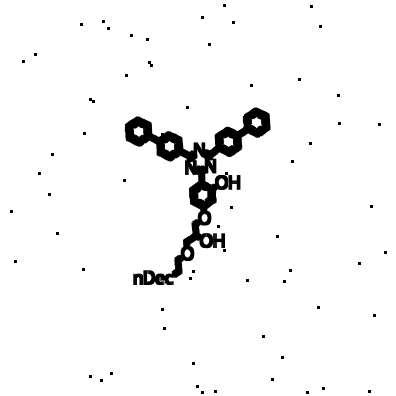 CCCCCCCCCCCCOCC(O)COc1ccc(-c2nc(-c3ccc(-c4ccccc4)cc3)nc(-c3ccc(-c4ccccc4)cc3)n2)c(O)c1